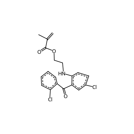 C=C(C)C(=O)OCCNc1ccc(Cl)cc1C(=O)c1ccccc1Cl